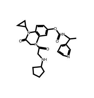 CC(NC(=O)Oc1ccc2c(c1)N(C(=O)CNC1CCCC1)CC(=O)N2C1CC1)c1cccnc1